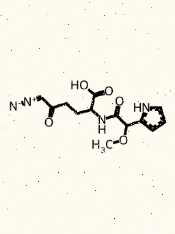 COC(C(=O)NC(CCC(=O)C=[N+]=[N-])C(=O)O)c1ccc[nH]1